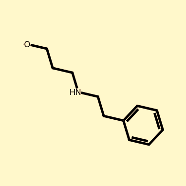 [O]CCCNCCc1ccccc1